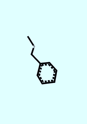 C[I]Cc1ccccc1